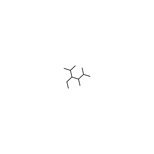 [CH2]C(C)C(CC)C(C)C(C)C